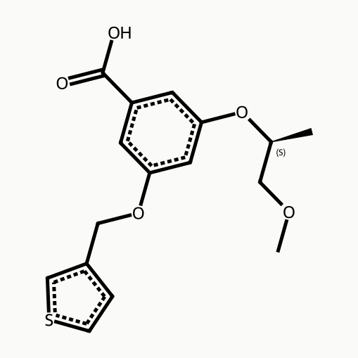 COC[C@H](C)Oc1cc(OCc2ccsc2)cc(C(=O)O)c1